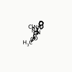 CCOC(=O)Cn1cnc2c(N3CCc4ccccc43)nc(Cl)nc21